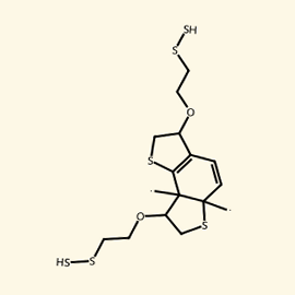 [CH2]C12C=CC3=C(SCC3OCCSS)C1([CH2])C(OCCSS)CS2